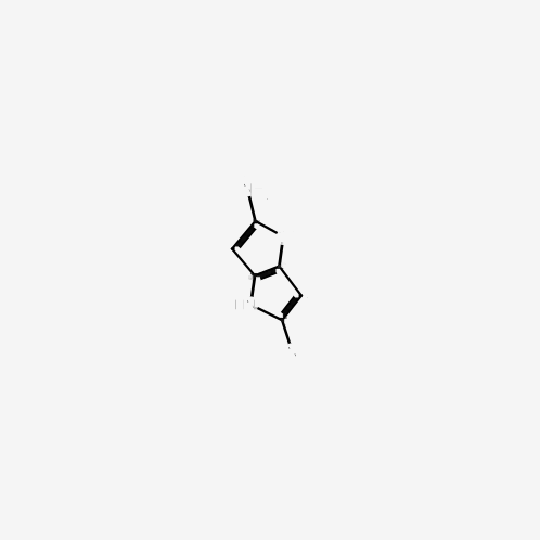 Nc1cc2sc(N)cc2[nH]1